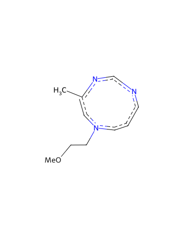 COCCn1cccncnc(C)c1